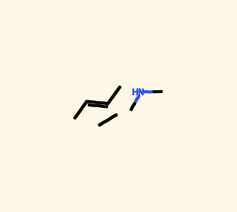 CC.CC=CC.CNC